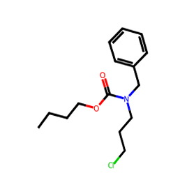 CCCCOC(=O)N(CCCCl)Cc1ccccc1